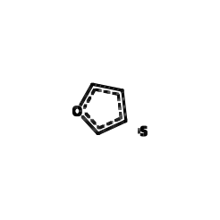 [S].c1ccoc1